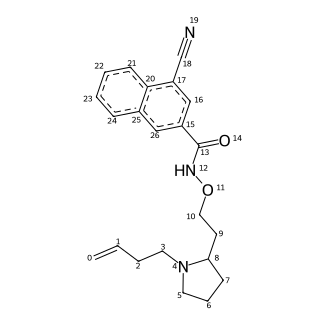 C=CCCN1CCCC1CCONC(=O)c1cc(C#N)c2ccccc2c1